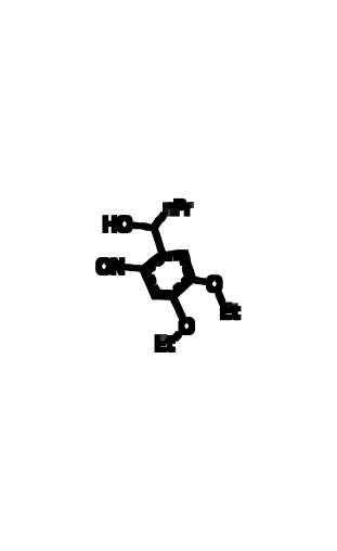 CCCC(O)c1cc(OCC)c(OCC)cc1N=O